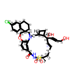 C[C@@H]1[C@@H](C)C/C=C/[C@](O)(C#CCO)[C@@H]2CC[C@H]2CN2C[C@@]3(CCCc4cc(Cl)ccc43)COc3ccc(cc32)C(=O)NS1(=O)=O